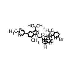 Cc1ncc(-c2cc(C)c3c(c2)c(C(C)O)nn3CC(=O)N2C3[C@@H]4[C@H]([C@H]2C(=O)Nc2nc(Br)ccc2C)[C@]34C)cn1